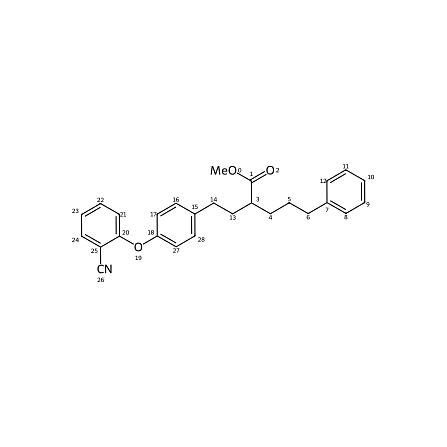 COC(=O)C(CCCc1ccccc1)CCc1ccc(Oc2ccccc2C#N)cc1